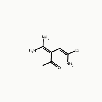 CC(=O)C(/C=C(\N)Cl)=C(N)N